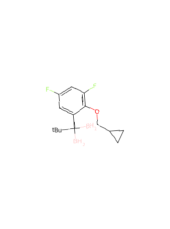 BC(B)(c1cc(F)cc(F)c1OCC1CC1)C(C)(C)C